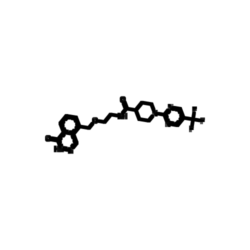 O=C(NCCOCc1cccc2c(=O)[nH]ncc12)C1CCN(c2ncc(C(F)(F)F)cn2)CC1